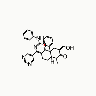 C[C@@H]1C(=O)/C(=C\O)CC2(c3ccccc3)c3nc(Nc4ccccc4)nc(-c4cncnc4)c3CC[C@@H]12